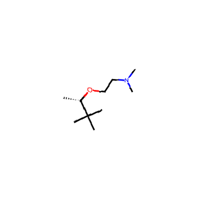 C[C@H](OCCN(C)C)C(C)(C)C